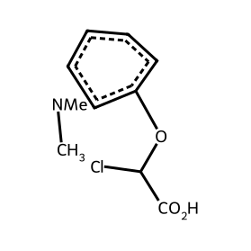 CNC.O=C(O)C(Cl)Oc1ccccc1